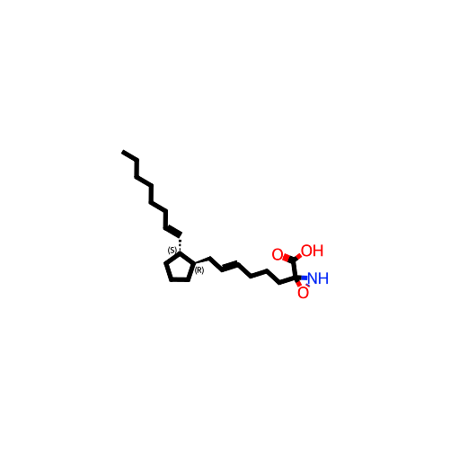 CCCCCCC=C[C@H]1CCC[C@@H]1CC=CCCCC1(C(=O)O)NO1